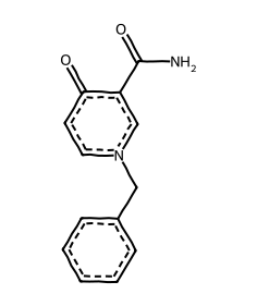 NC(=O)c1cn(Cc2ccccc2)ccc1=O